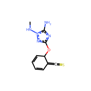 CNn1nc(OC2C=CC=CC2=C=S)nc1N